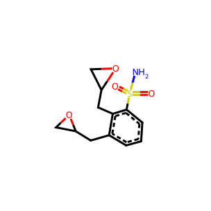 NS(=O)(=O)c1cccc(CC2CO2)c1CC1CO1